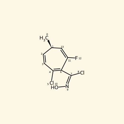 C[C@@H]1C=CC(Cl)=C(/C(Cl)=N\O)C(F)=C1